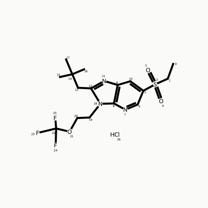 CCS(=O)(=O)c1cnc2c(c1)nc(CC(C)(C)C)n2CCOC(F)(F)F.Cl